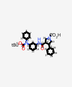 CC(C)(C)OC(=O)N(c1ccccc1)c1cccc(NC(=O)C2CN(C(=O)O)CC2c2ccccc2)c1